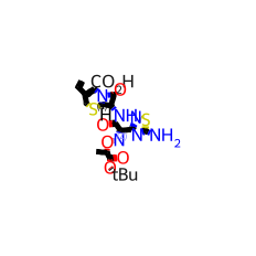 C=CC1=C(C(=O)O)N2C(=O)C(NC(=O)/C(=N\OC(C)C(=O)OC(C)(C)C)c3nsc(N)n3)[C@H]2SC1